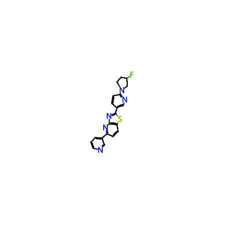 F[C@@H]1CCN(c2ccc(-c3nc4nc(-c5cccnc5)ccc4s3)cn2)C1